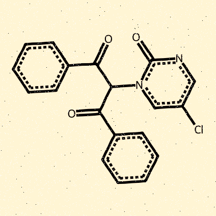 O=C(c1ccccc1)C(C(=O)c1ccccc1)n1cc(Cl)cnc1=O